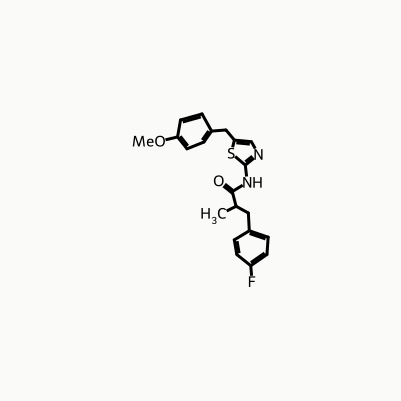 COc1ccc(Cc2cnc(NC(=O)C(C)Cc3ccc(F)cc3)s2)cc1